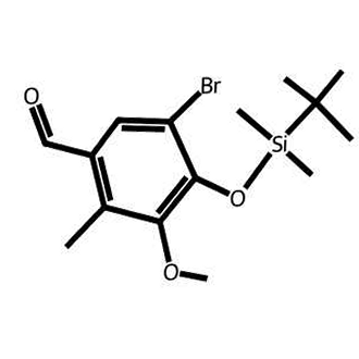 COc1c(C)c(C=O)cc(Br)c1O[Si](C)(C)C(C)(C)C